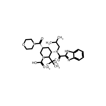 CC(C)CN(C(=O)c1nc2ccccc2[nH]1)[C@H]1C[C@@H](C(=O)N2CCOCC2)CN(C(=O)O)C1C(C)(C)C